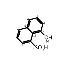 O=S(=O)(O)c1cccc2cc[c]c(O)c12